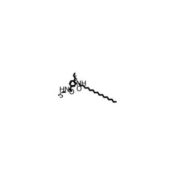 CCCCCCCCCCCCCCCC(=O)Nc1cc(C(=O)NCCSC)ccc1SCC